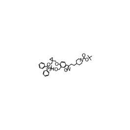 CC(C)(C)OC(=O)N1CCC(CCc2noc3c(CO)c(OCC4(CO[Si](c5ccccc5)(c5ccccc5)C(C)(C)C)CC4)ccc23)CC1